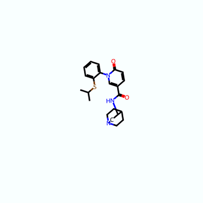 CC(C)Sc1ccccc1-n1cc(C(=O)NC2CN3CCC2CC3)ccc1=O